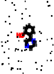 Oc1ccccc1-c1cn[c]cn1